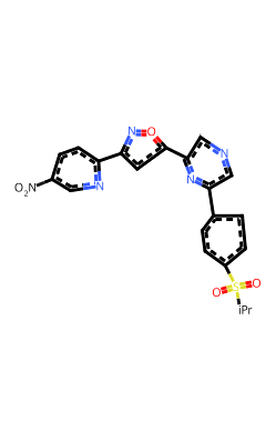 CC(C)S(=O)(=O)c1ccc(-c2cn[c]c(-c3cc(-c4ccc([N+](=O)[O-])cn4)no3)n2)cc1